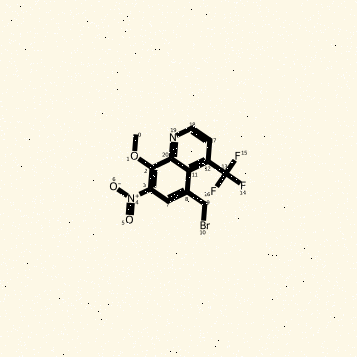 COc1c([N+](=O)[O-])cc(CBr)c2c(C(F)(F)F)ccnc12